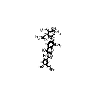 COC1C(OC(N)=O)C(O)C(Oc2ccc3c(O)c(NC(=O)c4ccc(O)c(CCC(C)C)c4)c(=O)oc3c2C)OC1(C)C